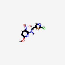 COc1ccc([N+](=O)[O-])c(N(C)Cc2cnc(Cl)s2)n1